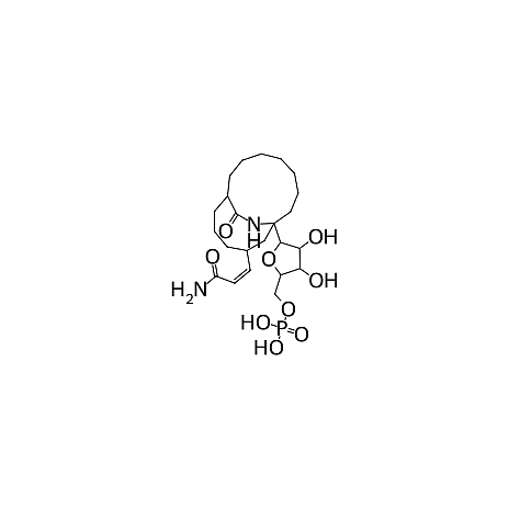 NC(=O)/C=C\C1CCCC2CCCCCCCC(C3OC(COP(=O)(O)O)C(O)C3O)(C1)NC2=O